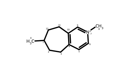 CC1CCc2cc[n+](C)cc2CC1